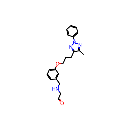 Cc1nn(-c2ccccc2)nc1CCCOc1cccc(CNCC=O)c1